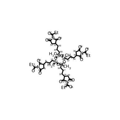 CCC(=O)N1C(=O)CC(CCC[Si]2(C)O[Si](C)(CCCC3CC(=O)N(C(=O)CC)C3=O)O[Si](C)(CCCC3CC(=O)N(C(=O)CC)C3=O)O[Si](C)(CCCC3CC(=O)N(C(=O)CC)C3=O)O2)C1=O